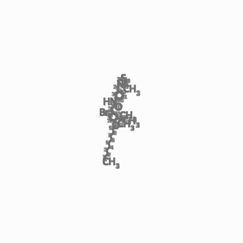 CCCCCCCCCCOc1ccc(CC(=O)Nc2cccc(C[n+]3cscc3C)c2)cc1C(C)(C)C.[Br-]